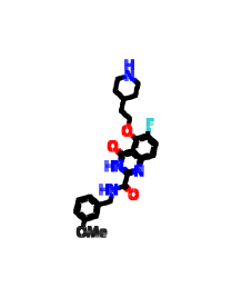 COc1cccc(CNC(=O)c2nc3ccc(F)c(OCCC4CCNCC4)c3c(=O)[nH]2)c1